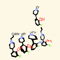 C=CCN1CCC(c2cccc(F)c2O)CC1.CCCN1CCC(c2cccc(F)c2N)CC1.CCCN1CCC(c2cccc(F)c2O)CC1.CCN1CCC(c2cccc(F)c2O)CC1.COCCN1CCC(c2cccc(F)c2O)CC1